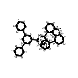 Clc1nc(-c2cc(-c3ccccc3)cc(-c3ccccc3)c2)nc(-c2cccc3oc4cccc(-c5ccccc5)c4c23)n1